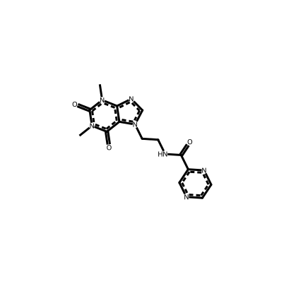 Cn1c(=O)c2c(ncn2CCNC(=O)c2cnccn2)n(C)c1=O